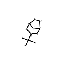 CC(C)(C)N1CC2BC(CC2)C1